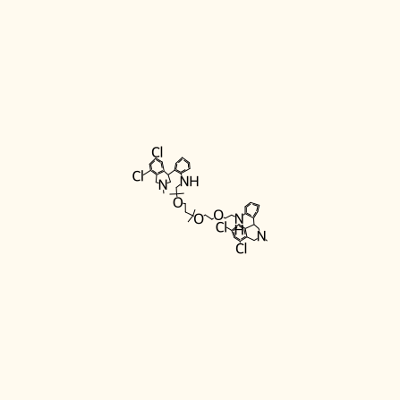 CN1Cc2c(Cl)cc(Cl)cc2C(c2ccccc2NCCOCCOC(C)(C)CCOC(C)(C)CNc2ccccc2C2CN(C)Cc3c(Cl)cc(Cl)cc32)C1